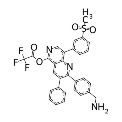 CS(=O)(=O)c1cccc(-c2cnc(OC(=O)C(F)(F)F)c3cc(-c4ccccc4)c(-c4ccc(CN)cc4)nc23)c1